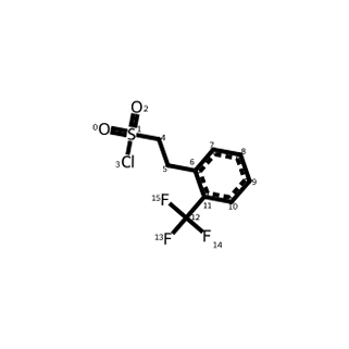 O=S(=O)(Cl)CCc1ccccc1C(F)(F)F